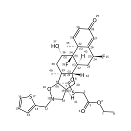 CCOC(=O)CSC(=O)[C@@]12ON(Cc3cccs3)C[C@@H]1C[C@H]1[C@@H]3C[C@H](F)C4=CC(=O)C=C[C@]4(C)[C@@]3(F)[C@@H](O)C[C@@]12C